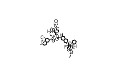 CCCOC(=O)[C@H](C)NP(=O)(Oc1ccccc1)C(F)c1ccc2ccc(C(=O)N[C@H]3CN(C(=O)c4cc(Cl)c5nc(C)ccc5c4)CC[C@H]4CC[C@@H](C(=O)N5CCOCC5)N4C3=O)cc2c1